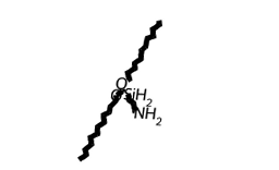 CCCCCCCCCCCCOC(OCCCCCCCCCCCC)[SiH2]CCCN